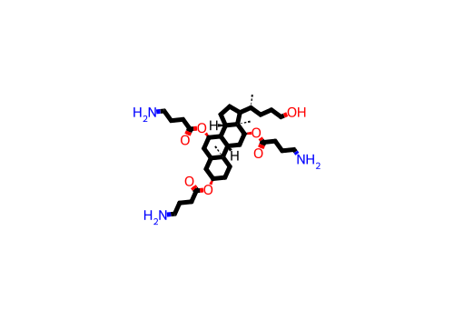 C[C@H](CCCO)C1CC[C@H]2C3[C@H](OC(=O)CCCN)CC4C[C@H](OC(=O)CCCN)CC[C@]4(C)[C@H]3C[C@H](OC(=O)CCCN)[C@]12C